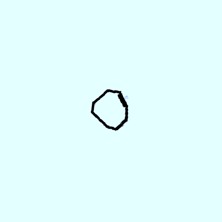 [CH]1C/C=C\C[CH]CC1